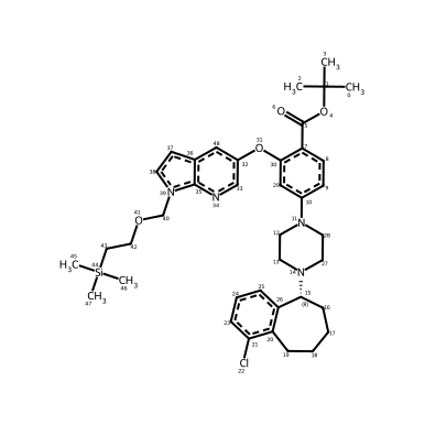 CC(C)(C)OC(=O)c1ccc(N2CCN([C@@H]3CCCCc4c(Cl)cccc43)CC2)cc1Oc1cnc2c(ccn2COCC[Si](C)(C)C)c1